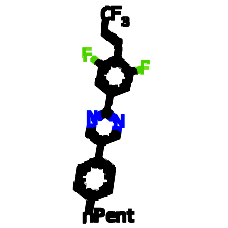 CCCCCc1ccc(-c2cnc(-c3cc(F)c(/C=C/C(F)(F)F)c(F)c3)nc2)cc1